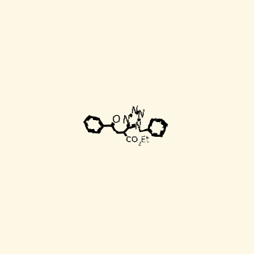 CCOC(=O)C(CC(=O)c1ccccc1)c1nnnn1Cc1ccccc1